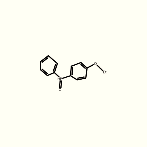 CCOc1ccc([PH](=O)c2ccccc2)cc1